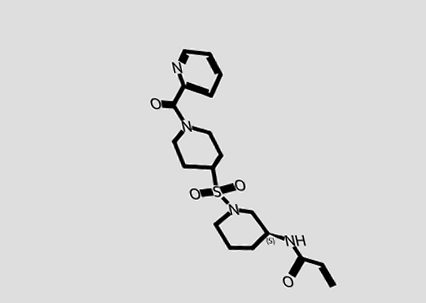 C=CC(=O)N[C@H]1CCCN(S(=O)(=O)C2CCN(C(=O)c3ccccn3)CC2)C1